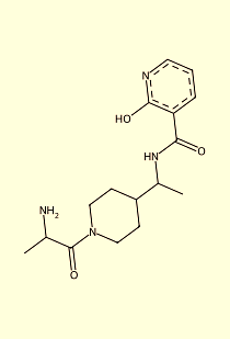 CC(N)C(=O)N1CCC(C(C)NC(=O)c2cccnc2O)CC1